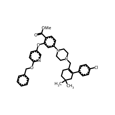 COC(=O)c1ccc(N2CCN(CC3=C(c4ccc(Cl)cc4)CC(C)(C)CC3)CC2)cc1Oc1ccc(OCc2ccccc2)nc1